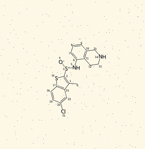 Cc1c([S+]([O-])Nc2cccc3c2CCNC3)sc2ccc(Cl)cc12